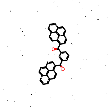 O=C(c1cccc(C(=O)c2ccc3ccc4cccc5ccc2c3c45)c1)c1ccc2ccc3cccc4ccc1c2c34